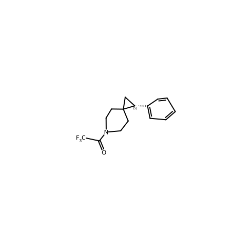 O=C(N1CCC2(CC1)C[C@@H]2c1ccccc1)C(F)(F)F